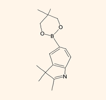 CC1=Nc2ccc(B3OCC(C)(C)CO3)cc2C1(C)C